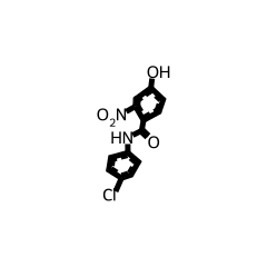 O=C(Nc1ccc(Cl)cc1)c1ccc(O)cc1[N+](=O)[O-]